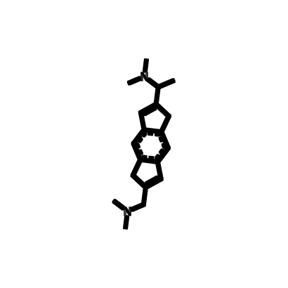 CC(C1=Cc2cc3c(cc2C1)C=C(CN(C)C)C3)N(C)C